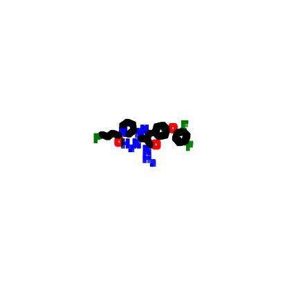 NC(=O)c1c(-c2ccc(Oc3ccc(F)cc3F)cc2)nn([C@@H]2CCCN(C(=O)CCCF)C2)c1N